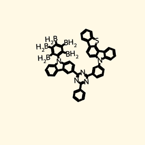 Bc1c(B)c(B)c(-n2c3ccccc3c3cc(-c4nc(-c5ccccc5)nc(-c5cccc(-n6c7ccccc7c7c8sc9ccccc9c8ccc76)c5)n4)ccc32)c(B)c1B